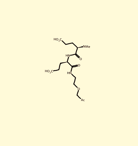 CN[C@H](CCC(=O)O)C(=O)N[C@H](CCC(=O)O)C(=O)NCCOCC(C)=O